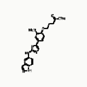 COC(=O)CCCOc1ccc(-c2cnc(Nc3ccc4[nH]ncc4c3)o2)cc1OC